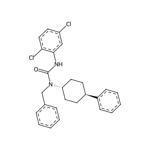 O=C(Nc1cc(Cl)ccc1Cl)N(Cc1ccccc1)[C@H]1CC[C@H](c2ccccc2)CC1